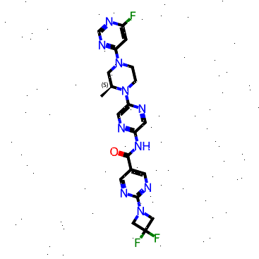 C[C@H]1CN(c2cc(F)ncn2)CCN1c1cnc(NC(=O)c2cnc(N3CC(F)(F)C3)nc2)cn1